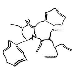 C=CC(C=C)C(C=C)C(=C)N1C(c2ccccc2)=NN(C)C1C1=CC=CCC=C1